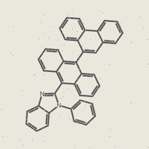 c1ccc(-n2c(-c3c4ccccc4c(-c4cc5ccccc5c5ccccc45)c4ccccc34)nc3ccccc32)cc1